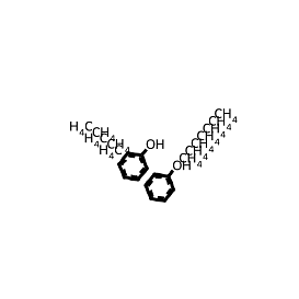 C.C.C.C.C.C.C.C.C.C.C.C.Oc1ccccc1.Oc1ccccc1